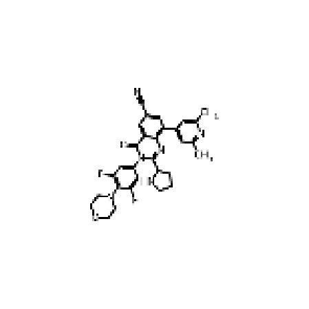 Cc1cc(-c2cc(C#N)cc3c(=O)n(-c4cc(F)c(N5CCOCC5)c(F)c4)c(C4CCCN4)nc23)cc(C)n1